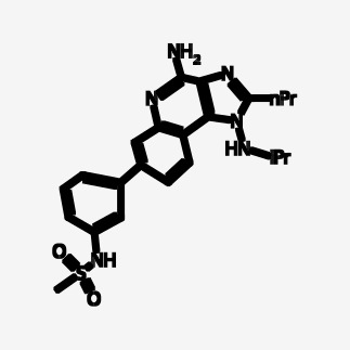 CCCc1nc2c(N)nc3cc(-c4cccc(NS(C)(=O)=O)c4)ccc3c2n1NC(C)C